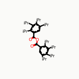 CC(C)c1cc(C(=O)OC(=O)c2cc(C(C)C)c(C(C)C)c(C(C)C)c2C(C)C)c(C(C)C)c(C(C)C)c1C(C)C